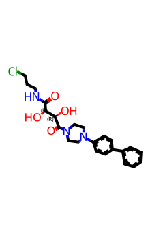 O=C(NCCCCl)[C@H](O)[C@@H](O)C(=O)N1CCN(c2ccc(-c3ccccc3)cc2)CC1